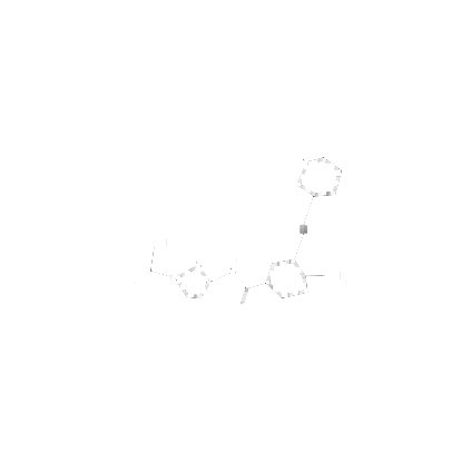 Cc1ccc(C(=O)Nc2ccn(C(C)C)n2)cc1C#Cc1cccnc1